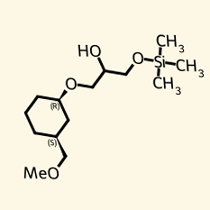 COC[C@H]1CCC[C@@H](OCC(O)CO[Si](C)(C)C)C1